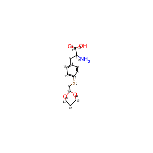 NC(Cc1ccc(SCC2OCCCO2)cc1)C(=O)O